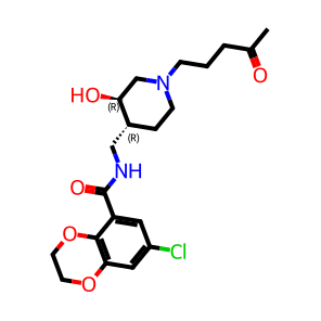 CC(=O)CCCN1CC[C@H](CNC(=O)c2cc(Cl)cc3c2OCCO3)[C@@H](O)C1